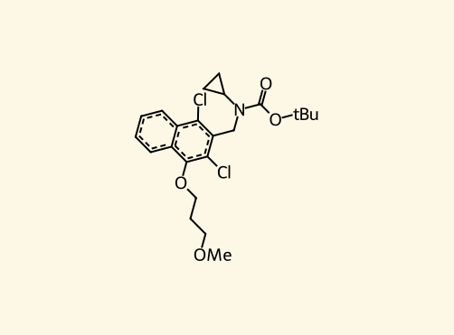 COCCCOc1c(Cl)c(CN(C(=O)OC(C)(C)C)C2CC2)c(Cl)c2ccccc12